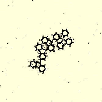 c1ccc([Si](c2ccccc2)(c2ccccc2)c2cccc(-n3c4ccccc4c4c(-n5c6ccccc6c6cc(-n7c8ccccc8c8ccccc87)ccc65)cccc43)c2)cc1